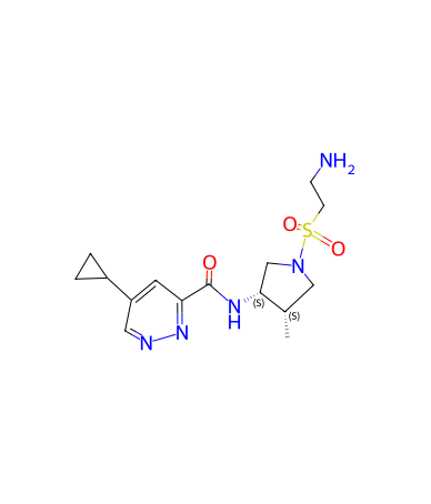 C[C@H]1CN(S(=O)(=O)CCN)C[C@H]1NC(=O)c1cc(C2CC2)cnn1